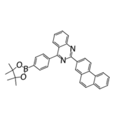 CC1(C)OB(c2ccc(-c3nc(-c4ccc5c(ccc6ccccc65)c4)nc4ccccc34)cc2)OC1(C)C